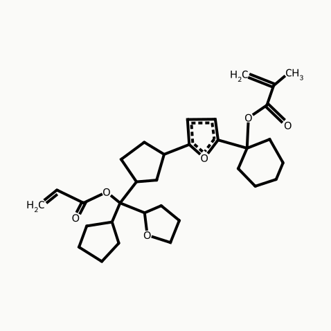 C=CC(=O)OC(C1CCCC1)(C1CCC(c2ccc(C3(OC(=O)C(=C)C)CCCCC3)o2)C1)C1CCCO1